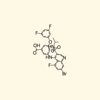 CC(C)NS(=O)(=O)c1cnc2cc(Br)cc(F)c2c1Nc1cc(Oc2cc(F)cc(F)c2)cc(C(=O)O)c1